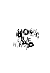 CN(C)C1CCCN(c2c(NC(=O)c3nc(-c4c(F)cccc4F)sc3N)cnn2C)CC1